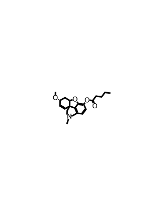 CCCCC(=O)Oc1ccc2c3c1OC1C[C@@H](OC)C=CC31CCN(C)C2